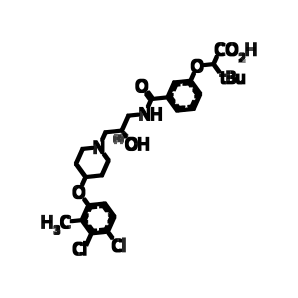 Cc1c(OC2CCN(C[C@H](O)CNC(=O)c3cccc(OC(C(=O)O)C(C)(C)C)c3)CC2)ccc(Cl)c1Cl